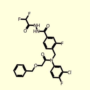 O=C(NNC(=O)C(F)F)c1ccc(CN(C(=O)COCc2ccccc2)c2ccc(F)c(Cl)c2)c(F)c1